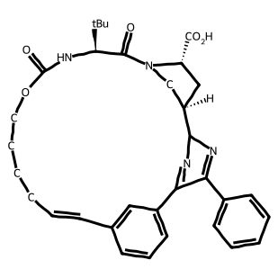 CC(C)(C)[C@@H]1NC(=O)OCCCC/C=C/c2cccc(c2)C2=NC(N=C2c2ccccc2)[C@@H]2C[C@@H](C(=O)O)N(C2)C1=O